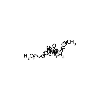 C=C(F)/C=C\C=C/COc1ccc(-n2ncc(C(=O)c3cc(/C=C(/F)CC4CCN(CC)CC4)c(C)[nH]3)c2N)c(C)c1